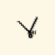 CCCCCCCCCCCCCP(O)(O)(CCCCCCCCCCCCC)Oc1ccccc1